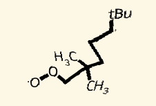 CC(C)(C)[CH]CCC(C)(C)CO[O]